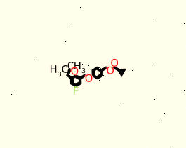 CC1(C)Cc2cc(F)cc(COc3ccc(COC(=O)C4CC4)cc3)c2O1